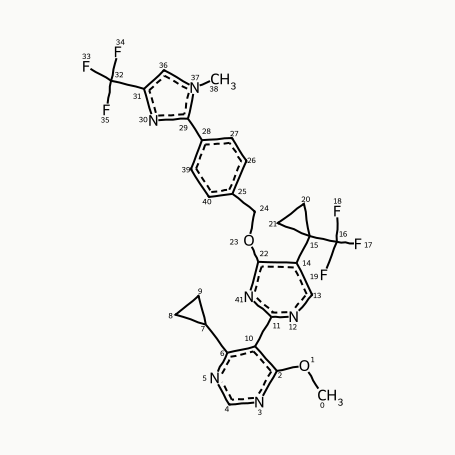 COc1ncnc(C2CC2)c1-c1ncc(C2(C(F)(F)F)CC2)c(OCc2ccc(-c3nc(C(F)(F)F)cn3C)cc2)n1